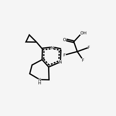 O=C(O)C(F)(F)F.c1nc2c(c(C3CC3)n1)CCNC2